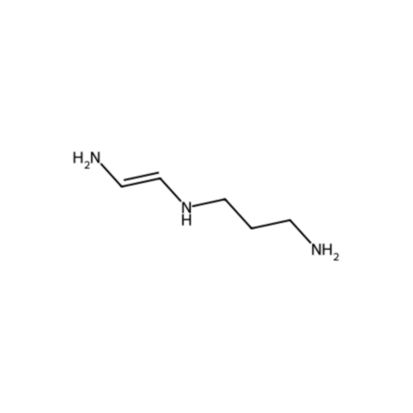 NC=CNCCCN